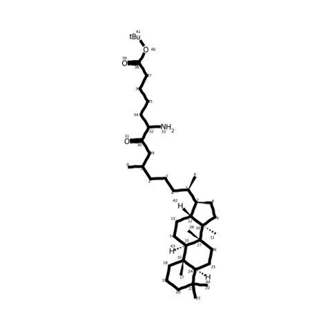 CC(CCC[C@@H](C)[C@H]1CC[C@]2(C)[C@@H]1CC[C@@H]1[C@@]3(C)CCCC(C)(C)[C@@H]3CC[C@]12C)CC(=O)C(N)CCCCC(=O)OC(C)(C)C